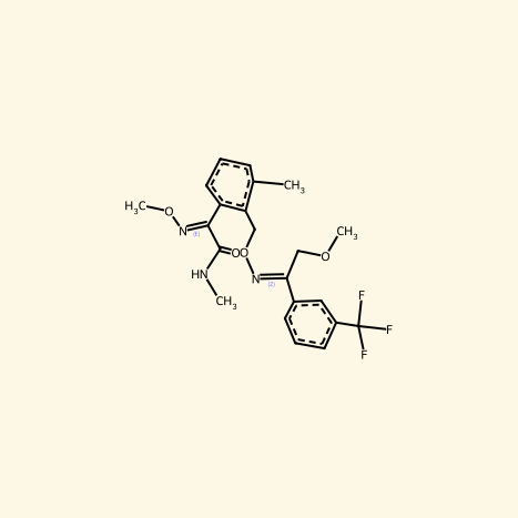 CNC(=O)/C(=N/OC)c1cccc(C)c1CO/N=C(\COC)c1cccc(C(F)(F)F)c1